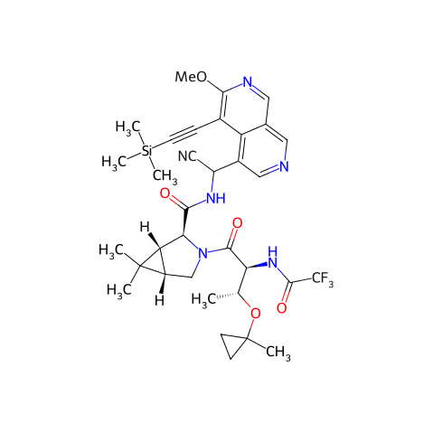 COc1ncc2cncc(C(C#N)NC(=O)[C@@H]3[C@@H]4[C@H](CN3C(=O)[C@@H](NC(=O)C(F)(F)F)[C@@H](C)OC3(C)CC3)C4(C)C)c2c1C#C[Si](C)(C)C